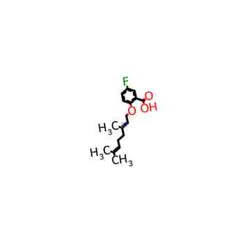 CC(C)=CCC/C(C)=C/COc1ccc(F)cc1C(=O)O